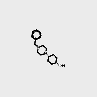 O[C@H]1CC[C@H](N2CCN(Cc3ccccc3)CC2)CC1